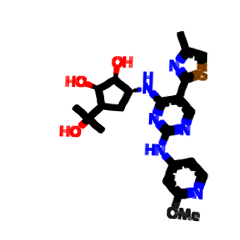 COc1cc(Nc2ncc(-c3nc(C)cs3)c(N[C@@H]3CC(C(C)(C)O)[C@@H](O)[C@H]3O)n2)ccn1